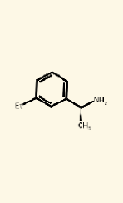 CCc1cccc([C@H](C)N)c1